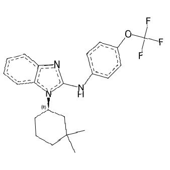 CC1(C)CCC[C@@H](n2c(Nc3ccc(OC(F)(F)F)cc3)nc3ccccc32)C1